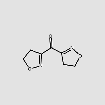 O=C(C1=NOCC1)C1=NOCC1